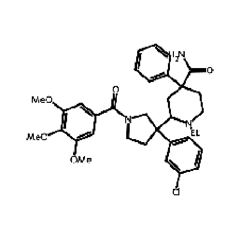 CCN1CCC(C(N)=O)(c2ccccc2)CC1C1(c2cccc(Cl)c2)CCN(C(=O)c2cc(OC)c(OC)c(OC)c2)C1